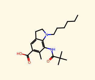 CCCCCCN1CCc2cc(C(=O)O)c(C)c(NC(=O)C(C)(C)C)c21